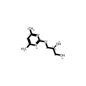 Cc1[c]c(C)nc(OC[C@@H](O)CO)n1